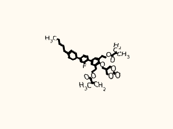 C=C(C)C(=O)OCCc1cc(-c2ccc(C3CCC(CCCCC)CC3)cc2F)cc(CCOC(=O)C(=C)C)c1OCC1COC(=O)OC1